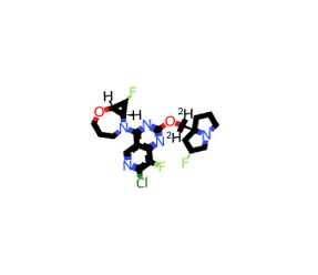 [2H]C([2H])(Oc1nc(N2CCCO[C@H]3[C@@H](F)[C@H]32)c2cnc(Cl)c(F)c2n1)[C@@]12CCCN1C[C@H](F)C2